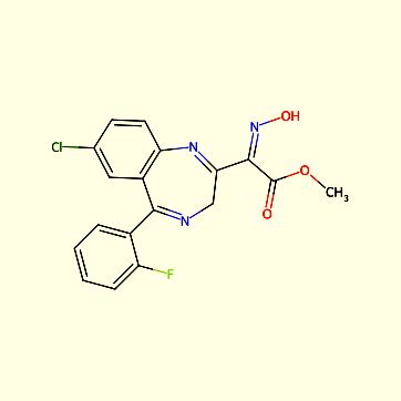 COC(=O)C(=NO)C1=Nc2ccc(Cl)cc2C(c2ccccc2F)=NC1